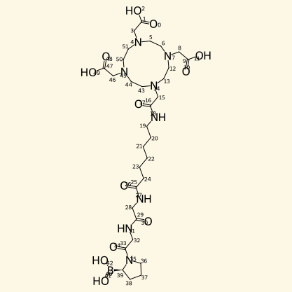 O=C(O)CN1CCN(CC(=O)O)CCN(CC(=O)NCCCCCCC(=O)NCC(=O)NCC(=O)N2CCC[C@H]2B(O)O)CCN(CC(=O)O)CC1